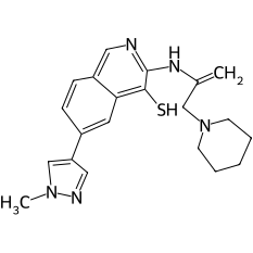 C=C(CN1CCCCC1)Nc1ncc2ccc(-c3cnn(C)c3)cc2c1S